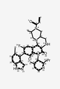 C=CC(=O)N1CC2CNc3c(c4cc(F)c(-c5c(C)ccc6[nH]ncc56)c(Cl)c4n(-c4c(C)ccnc4C(C)C)c3=O)N2CC1C